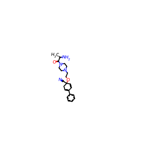 C[C@@H](N)C(=O)N1CCN(CCOC2(C#N)C=CC(c3ccccc3)=CC2)CC1